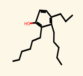 CCCCCCc1c(O)ccc(CCC)c1CCCCC